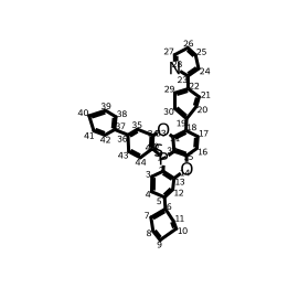 S=P12c3ccc(-c4ccccc4)cc3Oc3ccc(-c4ccc(-c5ccccn5)cc4)c(c31)Oc1cc(-c3ccccc3)ccc12